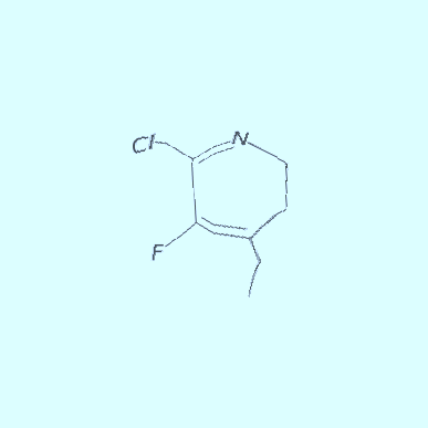 CC1=C(F)C(Cl)=NCC1